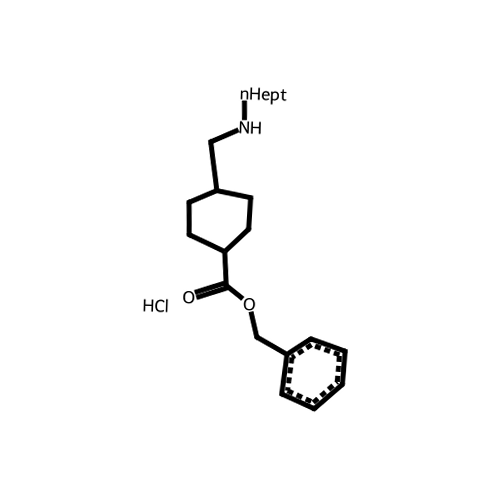 CCCCCCCNCC1CCC(C(=O)OCc2ccccc2)CC1.Cl